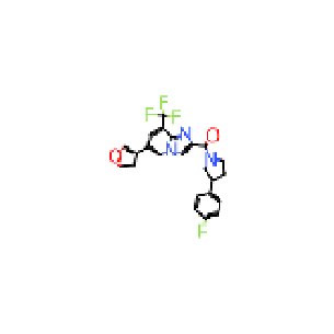 O=C(c1cn2cc(-c3ccoc3)cc(C(F)(F)F)c2n1)N1CCC(c2ccc(F)cc2)C1